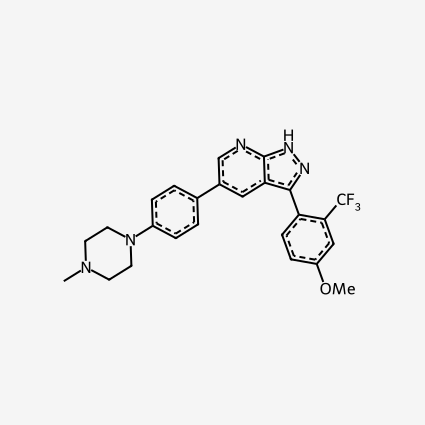 COc1ccc(-c2n[nH]c3ncc(-c4ccc(N5CCN(C)CC5)cc4)cc23)c(C(F)(F)F)c1